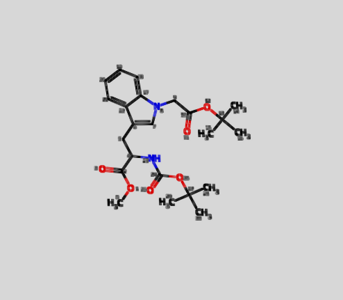 COC(=O)C(Cc1cn(CC(=O)OC(C)(C)C)c2ccccc12)NC(=O)OC(C)(C)C